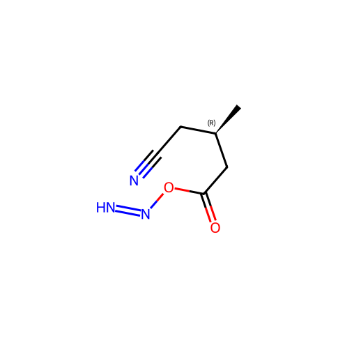 C[C@H](CC#N)CC(=O)ON=N